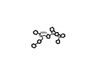 CN/C(=N\N(Cc1ccc(-c2ccccc2)cc1)Cc1cccc(-n2c3ccccc3c3cc4c5ccccc5n(-c5ccccc5)c4cc32)c1)c1ccccc1